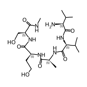 CNC(=O)[C@H](CO)NC(=O)[C@H](CCO)NC(=O)[C@H](C)NC(=O)[C@@H](NC(=O)[C@@H](N)C(C)C)C(C)C